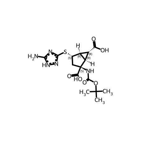 CC(C)(C)OC(=O)N[C@@]1(C(=O)O)C[C@H](Sc2n[nH]c(N)n2)[C@H]2[C@H](C(=O)O)[C@H]21